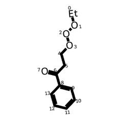 CCOOOCCC(=O)c1ccccc1